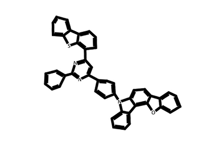 c1ccc(-c2nc(-c3ccc(-n4c5ccccc5c5c6oc7ccccc7c6ccc54)cc3)cc(-c3cccc4c3sc3ccccc34)n2)cc1